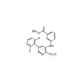 CC(C)(C)OC(=O)c1cccc(Nc2cc(-c3c(F)cccc3F)nnc2C(=O)O)c1